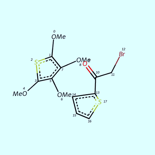 COc1sc(OC)c(OC)c1OC.O=C(CBr)c1cccs1